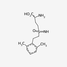 Cc1cccc(C)c1CCS(=N)(=O)CC[C@H](N)C(=O)O